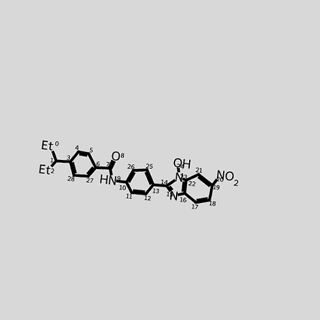 CCC(CC)c1ccc(C(=O)Nc2ccc(-c3nc4ccc([N+](=O)[O-])cc4n3O)cc2)cc1